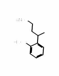 CCCCCCCCCCCC(C)c1ccccc1S(=O)(=O)O